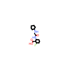 O=C(CNc1ccccc1)Nc1cccc(F)c1C(=O)O